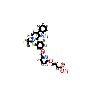 C[C@@H]1Cc2c([nH]c3ccccc23)[C@@H](c2c(F)cc(OCc3cccc(OCCCC(=O)O)n3)cc2F)N1CC(C)(C)F